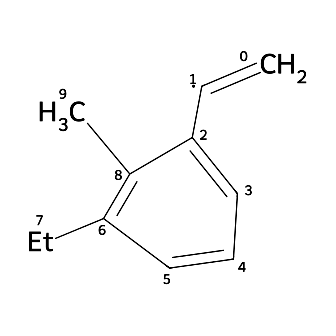 C=[C]c1cccc(CC)c1C